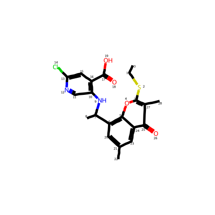 CCSc1oc2c(C(C)Nc3cnc(Cl)cc3C(=O)O)cc(C)cc2c(=O)c1C